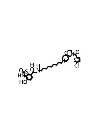 O=C(c1ccc(Cl)s1)N1CCOC2(CCN(CCCCCCCCCNCC(O)c3ccc(O)c4[nH]c(=O)sc34)CC2)C1